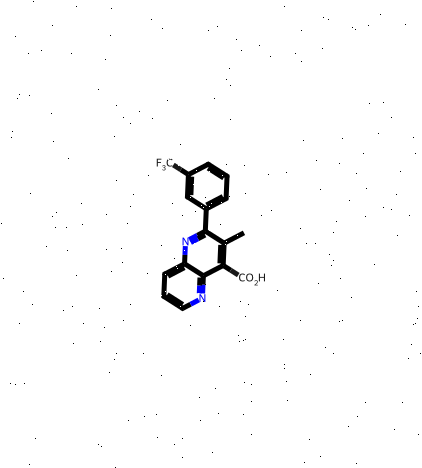 Cc1c(-c2cccc(C(F)(F)F)c2)nc2cccnc2c1C(=O)O